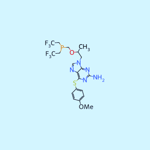 COc1ccc(Sc2nc(N)nc3c2ncn3CC(C)OCP(CC(F)(F)F)CC(F)(F)F)cc1